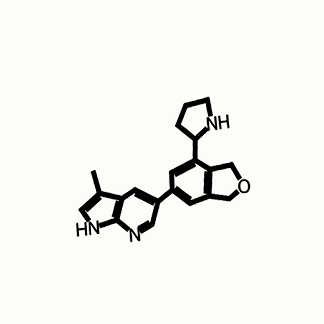 Cc1c[nH]c2ncc(-c3cc4c(c(C5CCCN5)c3)COC4)cc12